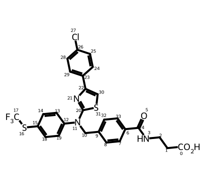 O=C(O)CCNC(=O)c1ccc(CN(c2ccc(SC(F)(F)F)cc2)c2nc(-c3ccc(Cl)cc3)cs2)cc1